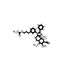 CC(=O)OCCCc1cccc(-n2c(-c3ccccc3)nc3c2CCC2[C@H](C)C(O)=C(C#N)C[C@]32C)c1